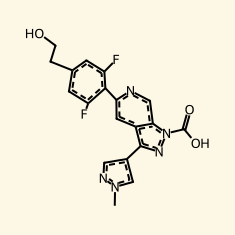 Cn1cc(-c2nn(C(=O)O)c3cnc(-c4c(F)cc(CCO)cc4F)cc23)cn1